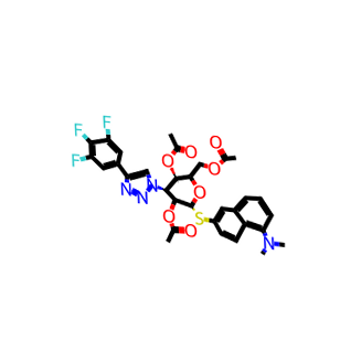 CC(=O)OCC1O[C@H](Sc2ccc3c(N(C)C)cccc3c2)C(OC(C)=O)[C@@H](n2cc(-c3cc(F)c(F)c(F)c3)nn2)[C@H]1OC(C)=O